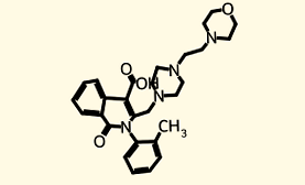 Cc1ccccc1-n1c(CN2CCN(CCN3CCOCC3)CC2)c(C(=O)O)c2ccccc2c1=O